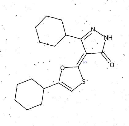 O=C1NN=C(C2CCCCC2)/C1=C1\OC(C2CCCCC2)=CS1